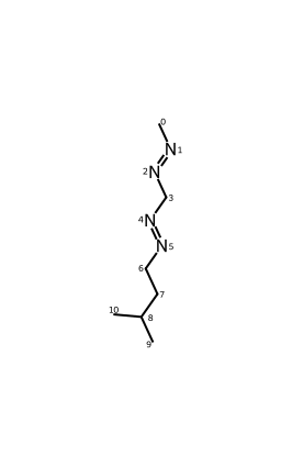 CN=NCN=NCCC(C)C